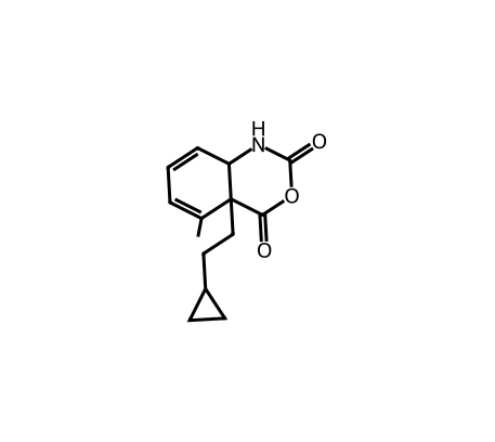 CC1=CC=CC2NC(=O)OC(=O)C12CCC1CC1